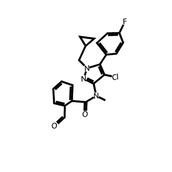 CN(C(=O)c1ccccc1C=O)c1nn(CC2CC2)c(-c2ccc(F)cc2)c1Cl